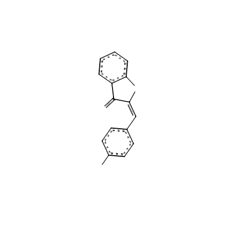 O=C(O)c1ccc(C=C2Sc3ccccc3C2=O)cc1